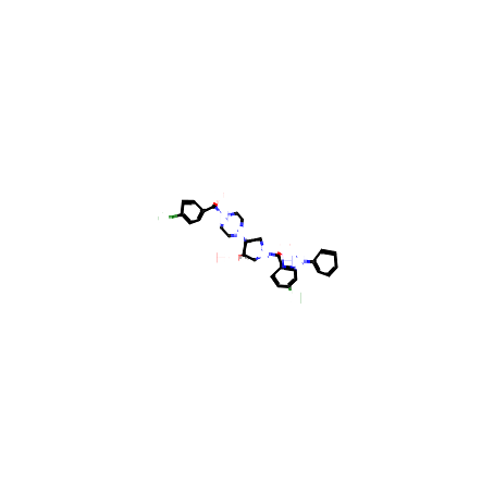 O=C(c1ccc(Cl)cc1)N1CCN([C@@H]2CN(C(=O)c3ccc(Cl)cc3Nc3ccccc3)C[C@H]2O)CC1